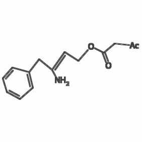 CC(=O)CC(=O)OCC=C(N)Cc1ccccc1